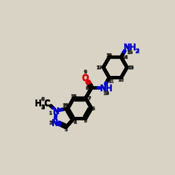 Cn1ncc2ccc(C(=O)NC3CCC(N)CC3)cc21